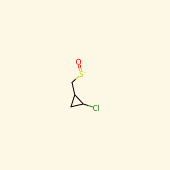 O=[S+]CC1CC1Cl